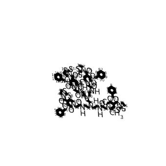 C=C1C(OCc2ccccc2)=C(C(=O)N2CCSC2=S)C=C(C)N1CC(=O)NCCN(CCNC(=O)Cn1ccc(C(=O)N2CCSC2=S)c(OCc2ccccc2)c1=O)CCN(CCNC(=O)Cn1c(C)cc(C(=O)N2CCSC2=S)c(OCc2ccccc2)c1=O)CCNC(O)Cn1c(C)cc(C(=O)N2CCSC2=S)c(OCc2ccccc2)c1=O